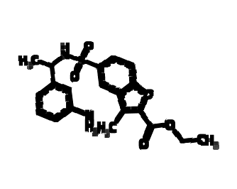 CCOC(=O)c1oc2ccc(S(=O)(=O)NC(C)c3cccc(N)c3)cc2c1C